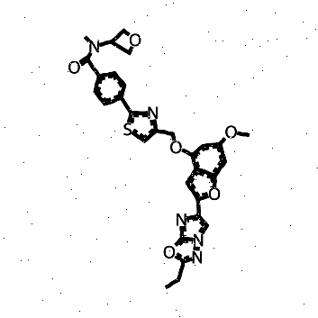 CCc1nn2cc(-c3cc4c(OCc5csc(-c6ccc(C(=O)N(C)C7COC7)cc6)n5)cc(OC)cc4o3)nc2o1